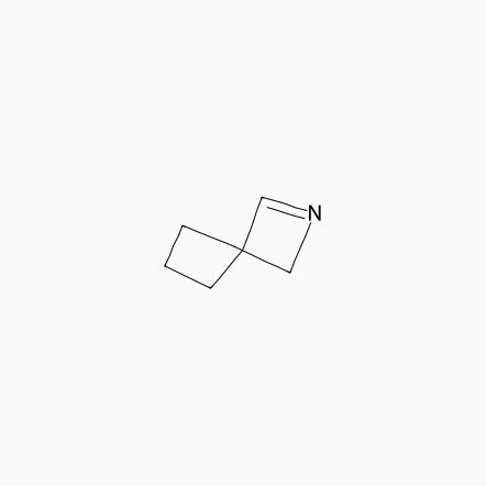 C1=NCC12CCC2